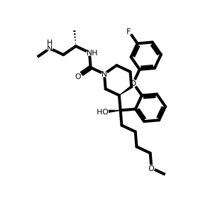 CNC[C@H](C)NC(=O)N1CCC[C@@H]([C@@](O)(CCCCOC)c2ccccc2Oc2cccc(F)c2)C1